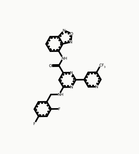 O=C(Nc1cccc2nonc12)c1cc(NCc2ccc(F)cc2F)nc(-c2cncc(C(F)(F)F)c2)n1